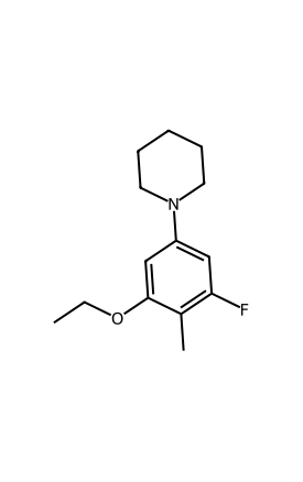 CCOc1cc(N2CCCCC2)cc(F)c1C